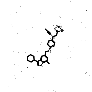 CC#C[C@@H](Cc1nnn[nH]1)c1ccc(OCc2cc(C)c3scc(C4CCCCC4)c3c2)cc1